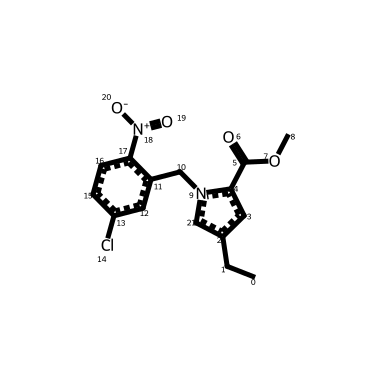 CCc1cc(C(=O)OC)n(Cc2cc(Cl)ccc2[N+](=O)[O-])c1